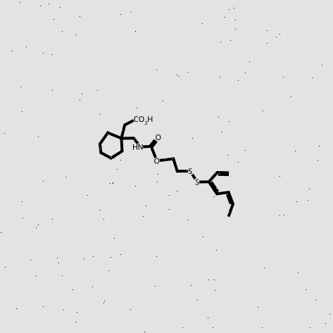 C=C/C(=C\C=C/C)SSCCOC(=O)NCC1(CC(=O)O)CCCCC1